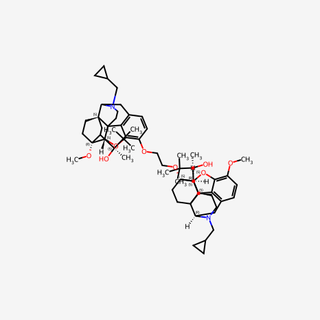 COc1ccc2c3c1O[C@@H]1[C@]4(OCCOc5ccc6c7c5O[C@H]5C78CCN(CC7CC7)C(C6)[C@]86CC[C@@]5(OC)C([C@](C)(O)C(C)(C)C)C6)CCC5(C[C@@H]4[C@](C)(O)C(C)(C)C)[C@@H](C2)N(CC2CC2)CC[C@]315